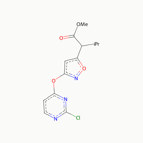 COC(=O)C(c1cc(Oc2ccnc(Cl)n2)no1)C(C)C